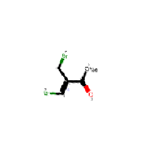 COC(=O)/C(=C/Br)CBr